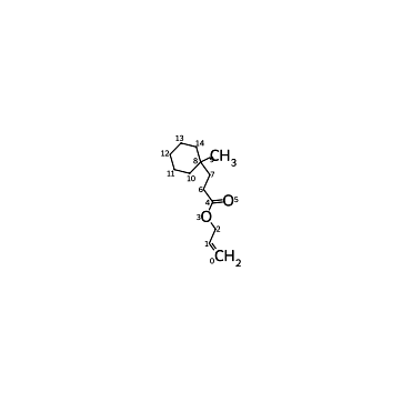 C=CCOC(=O)CCC1(C)CCCCC1